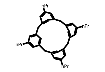 CCCc1cc2cc(c1)Cc1cc(CCC)cc(c1)Cc1cc(CCC)cc(c1)Cc1cc(CCC)cc(c1)C2